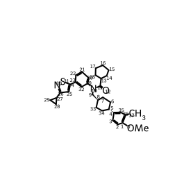 COc1ccc([C@H]2CC[C@H](CN(C(=O)C3CCCCC3)c3cccc(-c4cc(C5CC5)ns4)c3)CC2)cc1C